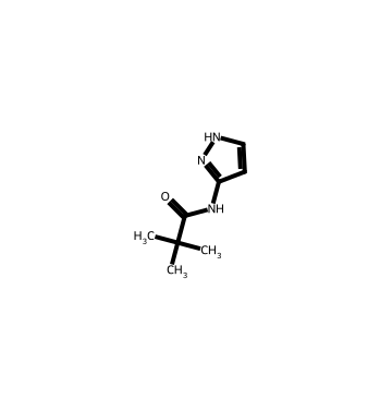 CC(C)(C)C(=O)Nc1cc[nH]n1